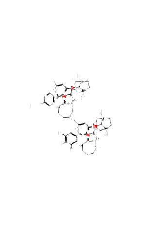 Cc1cc(N2C[C@H]3CC[C@@H](C2)C3Nc2nc3n(n2)CCCC[C@@H]3c2ccc(F)c(F)c2F)ncn1.Cc1cc(N2C[C@H]3CC[C@@H](C2)C3Nc2nc3n(n2)CCCC[C@@H]3c2cccc(C(F)(F)F)c2)ncn1